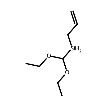 C=CC[SiH2]C(OCC)OCC